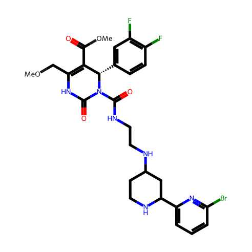 COCC1=C(C(=O)OC)[C@H](c2ccc(F)c(F)c2)N(C(=O)NCCNC2CCNC(c3cccc(Br)n3)C2)C(=O)N1